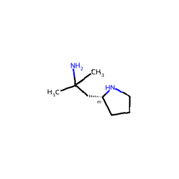 CC(C)(N)C[C@H]1CCCN1